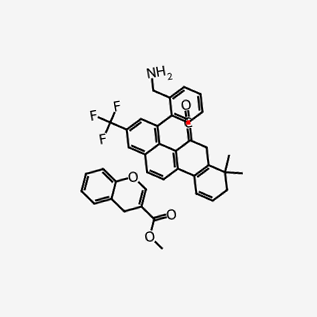 CC1(C)CC=CC2=C1CC(=C=O)c1c2ccc2cc(C(F)(F)F)cc(-c3ccccc3CN)c12.COC(=O)C1=COc2ccccc2C1